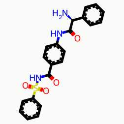 N[C@H](C(=O)Nc1ccc(C(=O)NS(=O)(=O)c2ccccc2)cc1)c1ccccc1